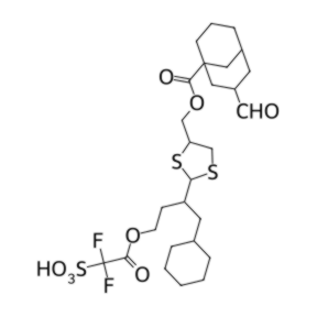 O=CC1CC2CCCC(C(=O)OCC3CSC(C(CCOC(=O)C(F)(F)S(=O)(=O)O)CC4CCCCC4)S3)(C1)C2